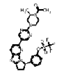 CC(=O)N1CCN(c2ncc(-c3ccc4nc5n(c4n3)[C@@H](c3cccc(OS(=O)(=O)C(F)(F)F)c3)CC5)cn2)C[C@H]1C